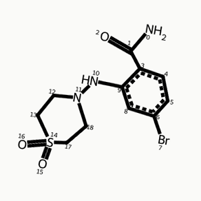 NC(=O)c1ccc(Br)cc1NN1CCS(=O)(=O)CC1